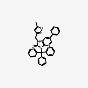 Cc1cc(Cn2c(=O)n(C(c3ccccc3)(c3ccccc3)c3ccccc3)c3ncc(-c4ccccc4)cc32)no1